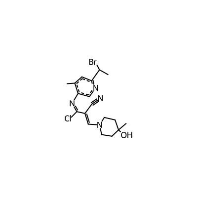 Cc1cc(C(C)Br)ncc1/N=C(Cl)\C(C#N)=C\N1CCC(C)(O)CC1